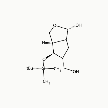 CC(C)(C)[Si](C)(C)O[C@@H]1[C@@H](CO)CC2[C@H]1CO[C@@H]2O